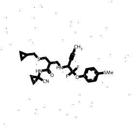 CC#CC(NCC(CSCC1CC1)C(=O)NC1(C#N)CC1)C(F)(F)Oc1ccc(SC)cc1